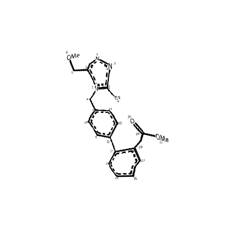 CCc1nnc(COC)n1Cc1ccc(-c2ccccc2C(=O)OC)cc1